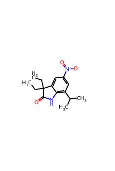 CCC1(CC)C(=O)Nc2c(C(C)C)cc([N+](=O)[O-])cc21